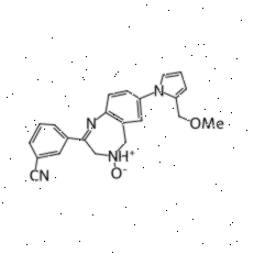 COCc1cccn1-c1ccc2c(c1)C[NH+]([O-])CC(c1cccc(C#N)c1)=N2